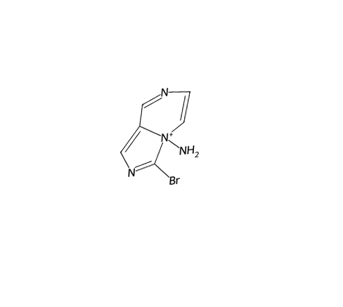 N[N+]12C=CN=CC1=CN=C2Br